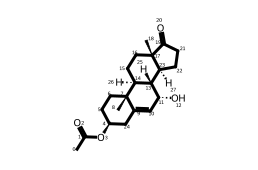 CC(=O)O[C@H]1CC[C@@]2(C)C(=C[C@@H](O)[C@@H]3[C@@H]2CC[C@]2(C)C(=O)CC[C@@H]32)C1